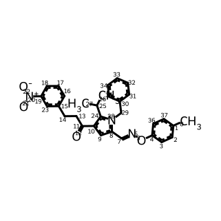 Cc1ccc(O/N=C/c2cc(C(=O)CCc3cccc([N+](=O)[O-])c3)c(C(C)C)n2Cc2ccccc2)cc1